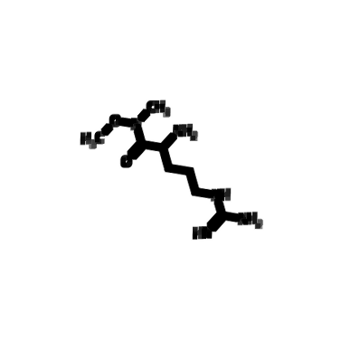 CON(C)C(=O)C(N)CCCNC(=N)N